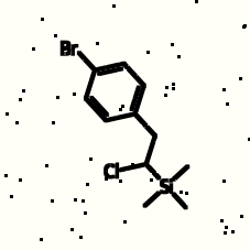 C[Si](C)(C)C(Cl)Cc1ccc(Br)cc1